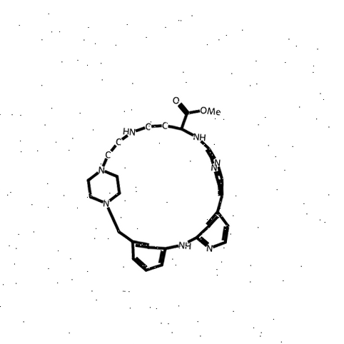 COC(=O)C1CCNCCN2CCN(CC2)Cc2cccc(c2)Nc2cc(ccn2)-c2cnc(nc2)N1